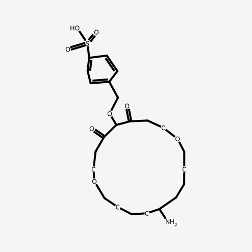 NC1CCCCOCCC(=O)C(OCc2ccc(S(=O)(=O)O)cc2)C(=O)CCOCCCC1